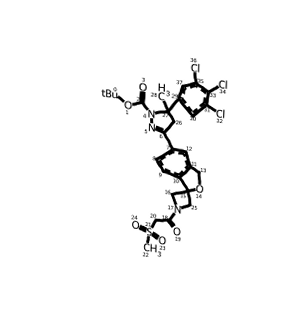 CC(C)(C)OC(=O)N1N=C(c2ccc3c(c2)COC32CN(C(=O)CS(C)(=O)=O)C2)CC1(C)c1cc(Cl)c(Cl)c(Cl)c1